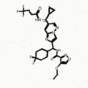 CCOc1conc1C(=O)NC(c1cn2ncc([C@H](NC(=O)CCC(F)(F)F)C3CC3)cc2n1)C1CCC(F)(F)CC1